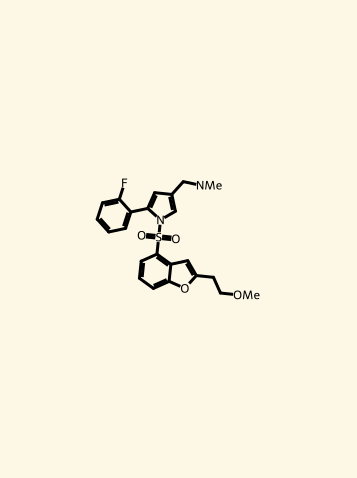 CNCc1cc(-c2ccccc2F)n(S(=O)(=O)c2cccc3oc(CCOC)cc23)c1